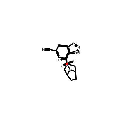 N#Cc1ccc(O)c(S(=O)(=O)N2C3CCC2CN(C(=O)c2cnn[nH]2)C3)c1